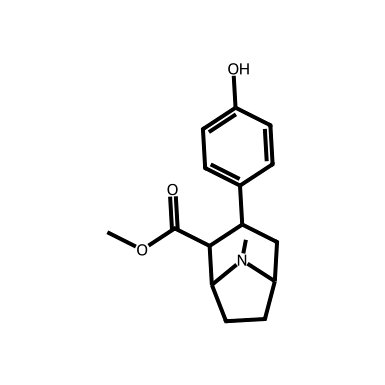 COC(=O)C1C(c2ccc(O)cc2)CC2CCC1N2C